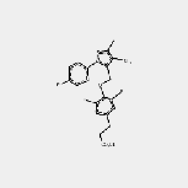 CCOC(=O)CCc1cc(F)c(OCc2c(-c3ccc(CC)cc3)sc(C)c2C(F)(F)F)c(F)c1